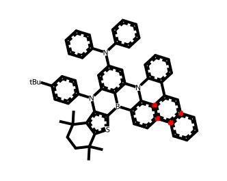 CC(C)(C)c1ccc(N2c3cc(N(c4ccccc4)c4ccccc4)cc4c3B(c3ccc(-c5ccccc5)cc3N4c3ccccc3-c3ccccc3)c3sc4c(c32)C(C)(C)CCC4(C)C)cc1